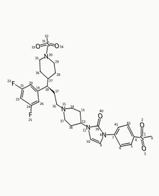 CS(=O)(=O)c1ccc(-n2ccn(C3CCN(CC[C@@H](c4cc(F)cc(F)c4)C4CCN(S(C)(=O)=O)CC4)CC3)c2=O)cc1